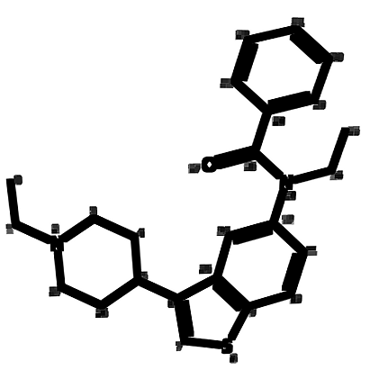 CCN1CCC(c2csc3ccc(N(CC)C(=O)c4ccccc4)cc23)CC1